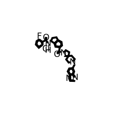 O=C(NC1CCc2ccc(C(=O)N3CCC4(CCN(Cc5ccc6nccnc6c5)CC4)C3)cc21)c1c(F)cccc1Cl